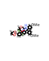 COc1ccc(C(NC2=NC(C)(c3cc(B4OCC(C)(C)CO4)ccc3F)C(F)(F)C(C)(C)OC2)(c2ccccc2)c2ccc(OC)cc2)cc1